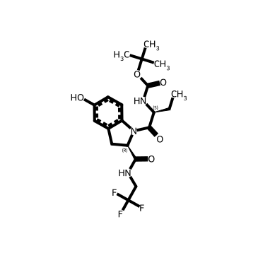 CC[C@H](NC(=O)OC(C)(C)C)C(=O)N1c2ccc(O)cc2C[C@@H]1C(=O)NCC(F)(F)F